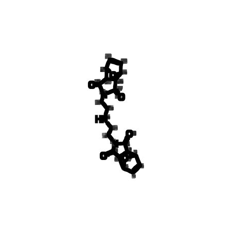 O=C1C2C3C=CC(O3)C2C(=O)N1CCNCCN1C(=O)C2C3C=CC(O3)C2C1=O